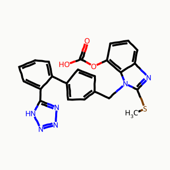 CSc1nc2cccc(OC(=O)O)c2n1Cc1ccc(-c2ccccc2-c2nnn[nH]2)cc1